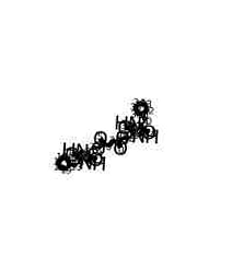 O=C(/C=C/C(=O)OC[C@@H]1NC(=O)[C@H](Cc2ccccc2)NC1=O)OC[C@@H]1NC(=O)[C@H](Cc2ccccc2)NC1=O